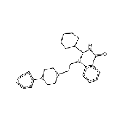 O=C1NC(C2CCCCC2)N(CCN2CCN(c3ccccc3)CC2)c2ccccc21